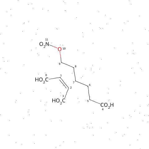 O=C(O)/C=C\C(=O)O.O=C(O)CCCCCO[N+](=O)[O-]